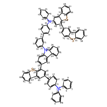 c1ccc(N(c2ccccc2)c2ccc(-c3cc(-c4ccc5c(c4)c4ccccc4n5-c4cccc(-c5ccc(N(c6ccccc6)c6cc(-c7ccc8sc9ccccc9c8c7)c7sc8ccccc8c7c6)cc5)c4)c4sc5ccccc5c4c3)cc2)cc1